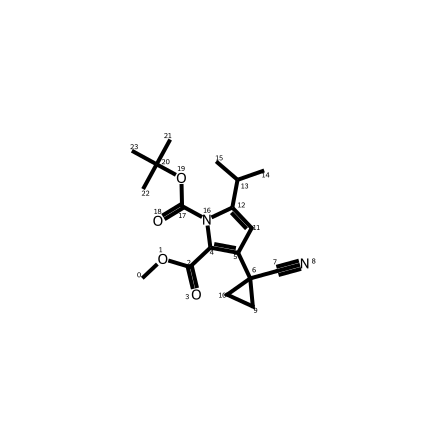 COC(=O)c1c(C2(C#N)CC2)cc(C(C)C)n1C(=O)OC(C)(C)C